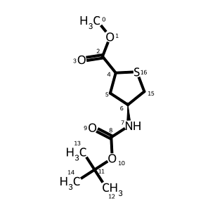 COC(=O)C1C[C@H](NC(=O)OC(C)(C)C)CS1